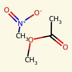 COC(C)=O.C[N+](=O)[O-]